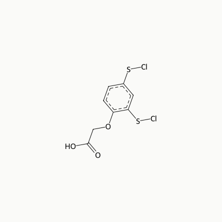 O=C(O)COc1ccc(SCl)cc1SCl